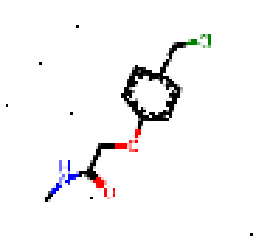 CNC(=O)COc1ccc(CCl)cc1